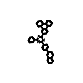 c1ccc(-c2nc(-c3ccc(-c4ccc5ccccc5c4)cc3)nc(-c3ccc4c5ccccc5c5ccccc5c4c3)n2)cc1